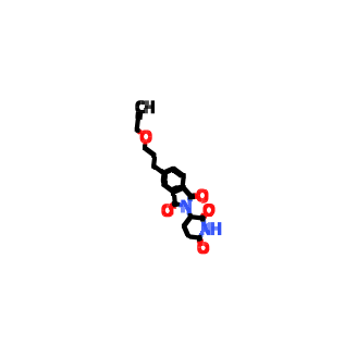 C#CCOCCCc1ccc2c(c1)C(=O)N(C1CCC(=O)NC1=O)C2=O